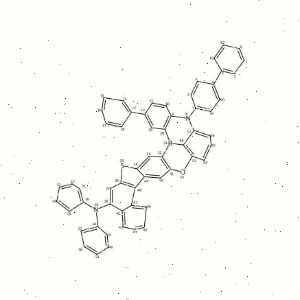 c1ccc(-c2ccc(N3c4ccc(-c5ccccc5)cc4B4c5cc6sc7cc(N(c8ccccc8)c8ccccc8)c8ccccc8c7c6cc5Oc5cccc3c54)cc2)cc1